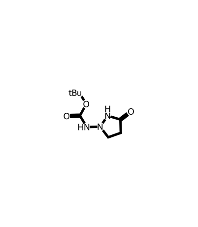 CC(C)(C)OC(=O)NN1CCC(=O)N1